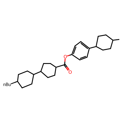 CCCCC1CCC(C2CCC(C(=O)Oc3ccc(C4CCC(C)CC4)cc3)CC2)CC1